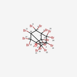 [O]C12C(Br)(Br)C3(Br)C(Br)(Br)C(Br)(C1(Br)Br)C(Br)(Br)C(Br)(C2(Br)Br)C3(Br)Br